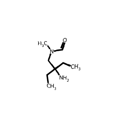 CCC(N)(CC)CN(C)C=O